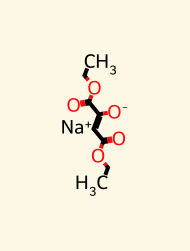 CCOC(=O)/C=C(\[O-])C(=O)OCC.[Na+]